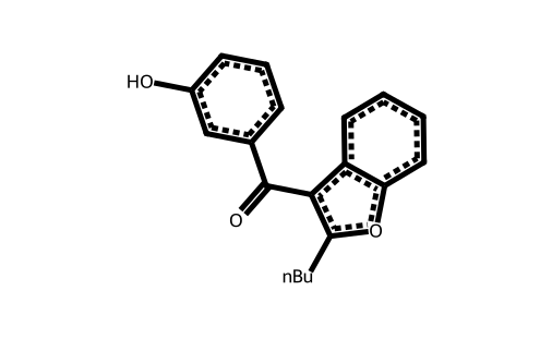 CCCCc1oc2ccccc2c1C(=O)c1cccc(O)c1